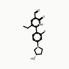 CCc1cc(C=O)c(=O)[nH]c1-c1ccc(N2CC[C@H](O)C2)cc1F